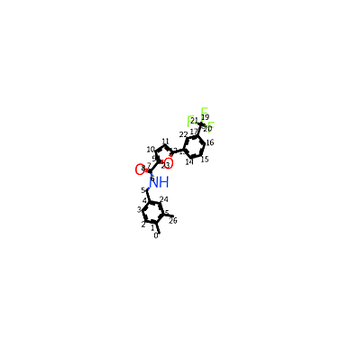 Cc1ccc(CNC(=O)c2ccc(-c3cccc(C(F)(F)F)c3)o2)cc1C